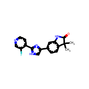 CC1(C)C(=O)Nc2cc(-c3c[nH]c(-c4ccncc4F)n3)ccc21